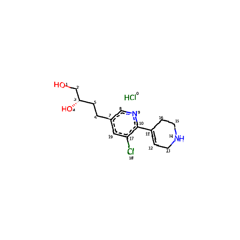 Cl.OC[C@@H](O)CCc1cnc(C2=CCNCC2)c(Cl)c1